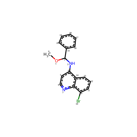 COC(Nc1ccnc2c(Br)cccc12)c1ccccc1